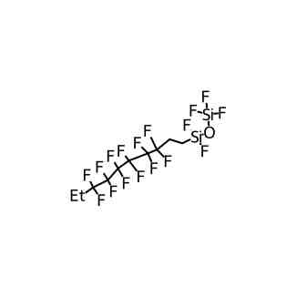 CCC(F)(F)C(F)(F)C(F)(F)C(F)(F)C(F)(F)C(F)(F)CC[Si](F)(F)O[Si](F)(F)F